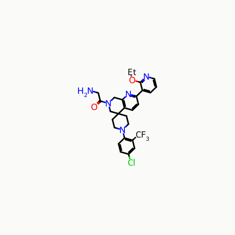 CCOc1ncccc1-c1ccc2c(n1)CN(C(=O)CN)CC21CCN(c2ccc(Cl)cc2C(F)(F)F)CC1